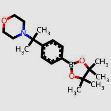 CC(C)(c1ccc(B2OC(C)(C)C(C)(C)O2)cc1)N1CCOCC1